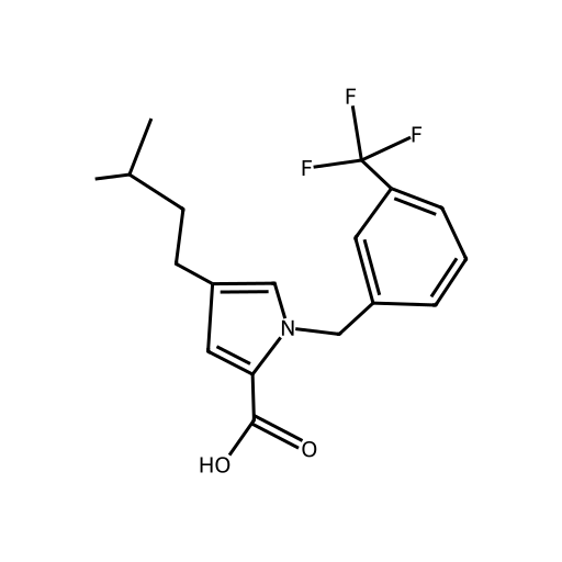 CC(C)CCc1cc(C(=O)O)n(Cc2cccc(C(F)(F)F)c2)c1